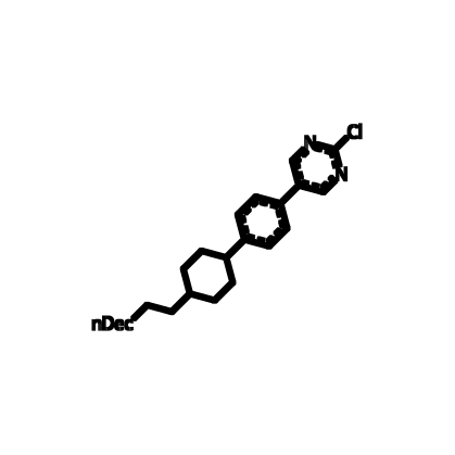 CCCCCCCCCCCCC1CCC(c2ccc(-c3cnc(Cl)nc3)cc2)CC1